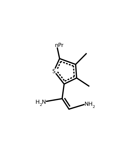 CCCc1sc(/C(N)=C\N)c(C)c1C